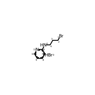 Br.BrCCCNc1ccccn1